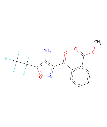 COC(=O)c1ccccc1C(=O)c1noc(C(F)(F)C(F)(F)F)c1N